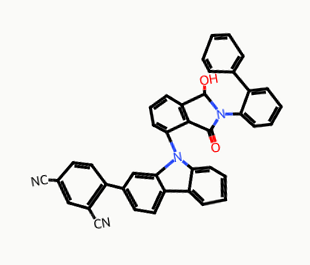 N#Cc1ccc(-c2ccc3c4ccccc4n(-c4cccc5c4C(=O)N(c4ccccc4-c4ccccc4)C5O)c3c2)c(C#N)c1